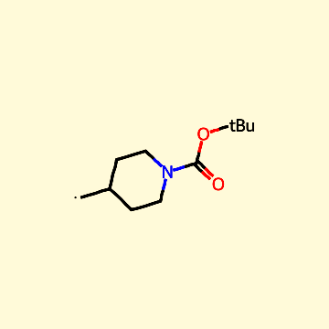 [CH2]C1CCN(C(=O)OC(C)(C)C)CC1